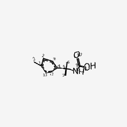 Cc1ccc(C(C)(C)NC(=O)O)cc1